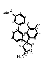 COc1cccc(-c2cccc(C3(c4ccc(C)c(C)c4)COC(N)=N3)c2)c1